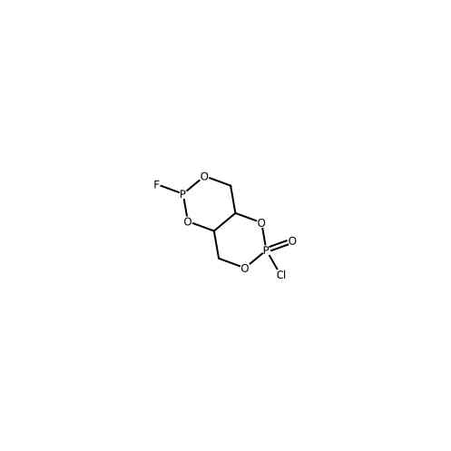 O=P1(Cl)OCC2OP(F)OCC2O1